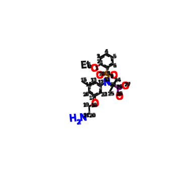 CCOc1ccccc1S(=O)(=O)N(c1cc(C)cc(OCCN)c1)C(C)(C)P(=O)=O